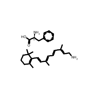 CC(C=CC1=C(C)CCCC1(C)C)=CC=CC(C)=CCN.N[C@@H](Cc1ccccc1)C(=O)O